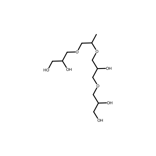 CC(COCC(O)CO)OCC(O)COCC(O)CO